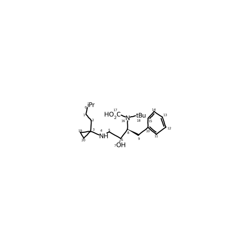 CC(C)CCC1(NC[C@@H](O)[C@H](Cc2ccccc2)N(C(=O)O)C(C)(C)C)CC1